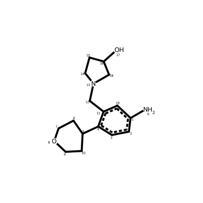 Nc1ccc(C2CCOCC2)c(CN2CCC(O)C2)c1